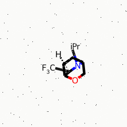 CC(C)N1C2CCC(OC2)[C@H]1C(F)(F)F